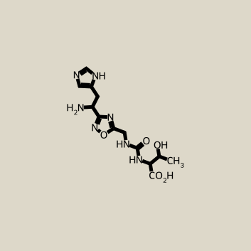 CC(O)C(NC(=O)NCc1nc(C(N)Cc2cnc[nH]2)no1)C(=O)O